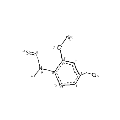 CCCOc1cc(Cl)cnc1N(C)C=S